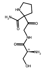 NC(=O)C1(C(=O)CNC(=O)[C@@H](N)CO)CCCN1